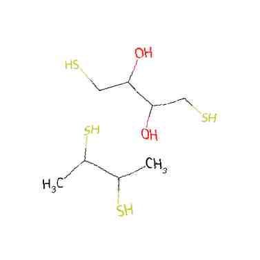 CC(S)C(C)S.OC(CS)C(O)CS